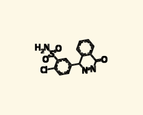 NS(=O)(=O)c1cc(C2N=NC(=O)c3ccccc32)ccc1Cl